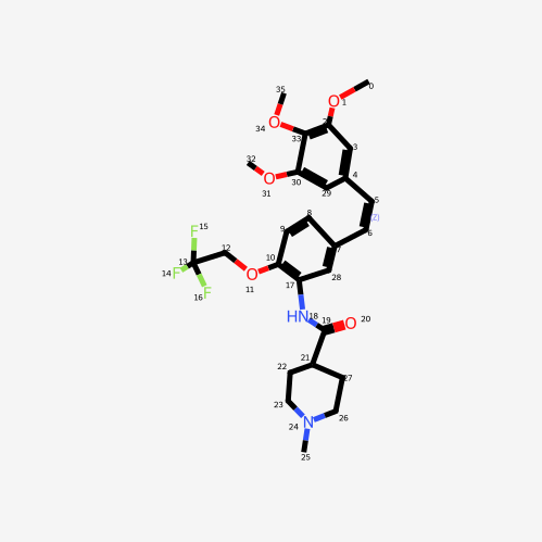 COc1cc(/C=C\c2ccc(OCC(F)(F)F)c(NC(=O)C3CCN(C)CC3)c2)cc(OC)c1OC